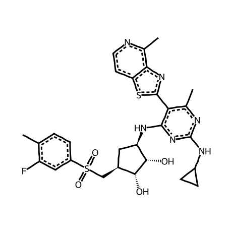 Cc1ccc(S(=O)(=O)C[C@H]2C[C@@H](Nc3nc(NC4CC4)nc(C)c3-c3nc4c(C)nccc4s3)[C@H](O)[C@@H]2O)cc1F